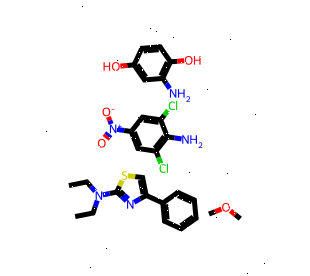 CCN(CC)c1nc(-c2ccccc2)cs1.COC.Nc1c(Cl)cc([N+](=O)[O-])cc1Cl.Nc1cc(O)ccc1O